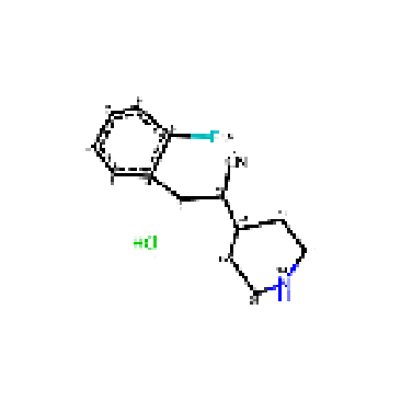 Cl.N#CC(Cc1ccccc1F)C1CCNCC1